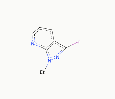 [CH2]Cn1nc(I)c2cccnc21